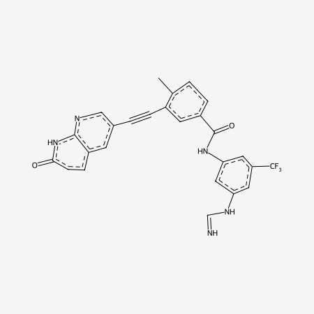 Cc1ccc(C(=O)Nc2cc(NC=N)cc(C(F)(F)F)c2)cc1C#Cc1cnc2[nH]c(=O)ccc2c1